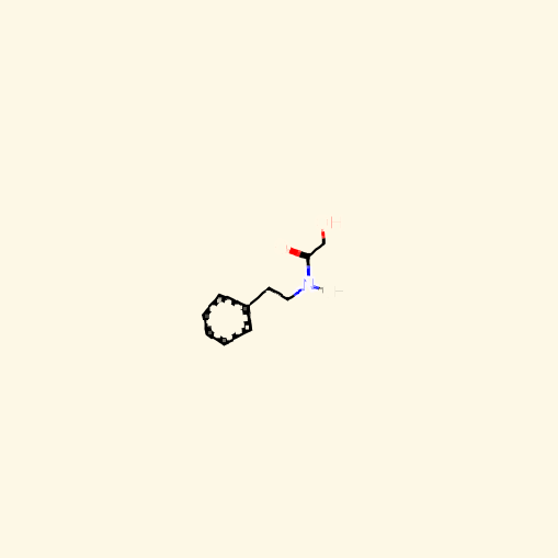 CN(CCc1ccccc1)C(=O)CO